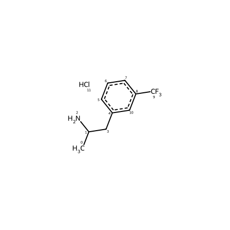 CC(N)Cc1cccc(C(F)(F)F)c1.Cl